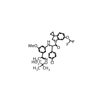 COc1cc(NC(C(=O)N2CC3(CC3)c3ccc(OC(F)F)cc32)c2ccc(Cl)cc2)cc(C(C)=NOC(C)(C)C(=O)O)c1